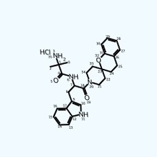 CC(C)(N)C(=O)NC(Cc1c[nH]c2ccccc12)C(=O)N1CCC2(CCc3ccccc3O2)CC1.Cl